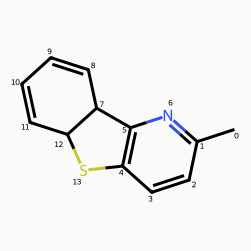 Cc1ccc2c(n1)C1C=CC=CC1S2